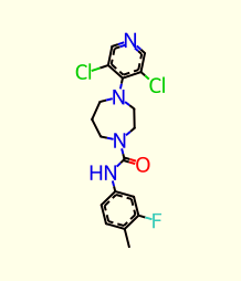 Cc1ccc(NC(=O)N2CCCN(c3c(Cl)cncc3Cl)CC2)cc1F